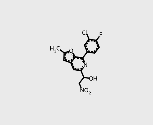 Cc1cc2cc(C(O)C[N+](=O)[O-])nc(-c3ccc(F)c(Cl)c3)c2o1